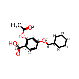 CC(=O)Oc1cc(OCC2CCCCC2)ccc1C(=O)O